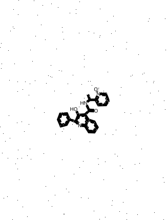 CC(NC(=O)c1c(O)c(-c2ccccc2)nc2ccccc12)c1cccc[n+]1[O-]